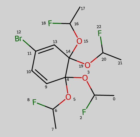 CC(F)OC1(OC(C)F)C=CC(Br)=CC1(OC(C)F)OC(C)F